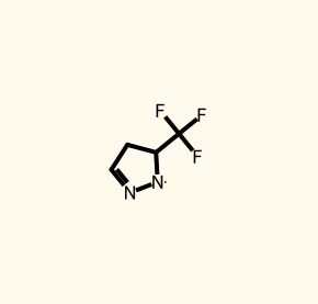 FC(F)(F)C1CC=N[N]1